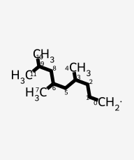 [CH2]CCC(C)CC(C)CC(C)C